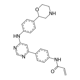 C=CC(=O)Nc1ccc(-c2cc(Nc3ccc(C4CNCCO4)cc3)ncn2)cc1